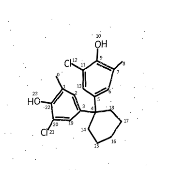 Cc1cc(C2(c3cc(C)c(O)c(Cl)c3)CCCCC2)cc(Cl)c1O